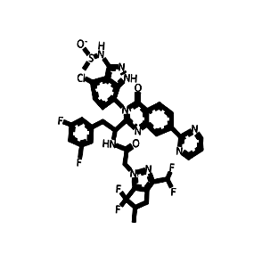 CC1Cc2c(C(F)F)nn(CC(=O)NC(Cc3cc(F)cc(F)c3)c3nc4cc(-c5ncccn5)ccc4c(=O)n3-c3ccc(Cl)c4c(N[S+](C)[O-])n[nH]c34)c2C1(F)F